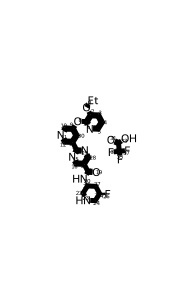 CCOc1cccnc1Oc1cncc(-c2ncc(C(=O)N[C@H]3CNC[C@H](F)C3)cn2)c1.O=C(O)C(F)(F)F